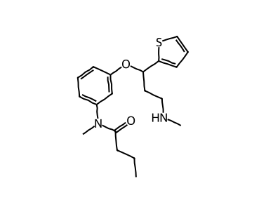 CCCC(=O)N(C)c1cccc(OC(CCNC)c2cccs2)c1